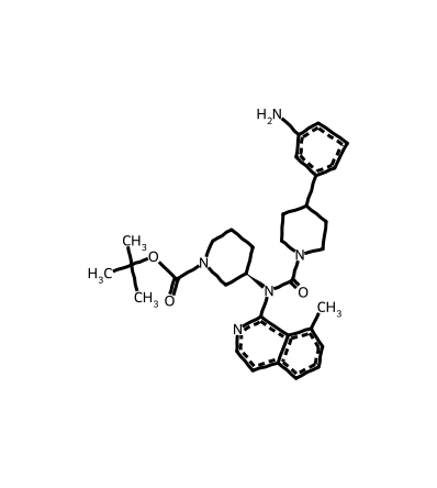 Cc1cccc2ccnc(N(C(=O)N3CCC(c4cccc(N)c4)CC3)[C@@H]3CCCN(C(=O)OC(C)(C)C)C3)c12